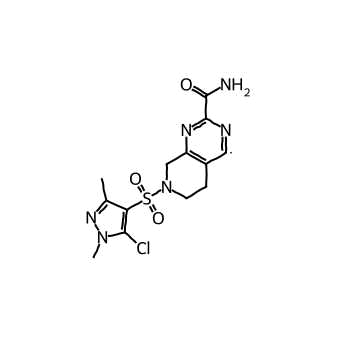 Cc1nn(C)c(Cl)c1S(=O)(=O)N1CCc2[c]nc(C(N)=O)nc2C1